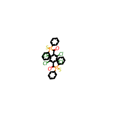 O=C(c1c(Cl)c(Cl)c(C(=O)P(=S)(c2ccccc2)c2ccccc2)c(Cl)c1Cl)P(=S)(c1ccccc1)c1ccccc1